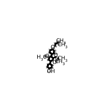 COC(=O)c1c(OC)c(-c2ccc(O)cc2)cc(OC)c1-c1ccc(OCC=C(C)C)cc1